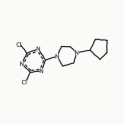 Clc1nc(Cl)nc(N2CCN(C3CCCC3)CC2)n1